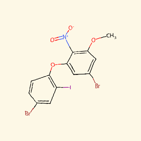 COc1cc(Br)cc(Oc2ccc(Br)cc2I)c1[N+](=O)[O-]